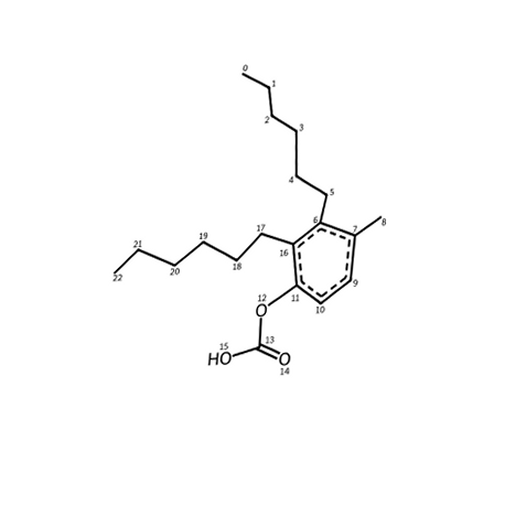 CCCCCCc1c(C)ccc(OC(=O)O)c1CCCCCC